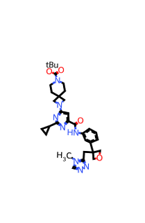 Cn1cnnc1CC1(c2cccc(NC(=O)c3cc(N4CC5(CCN(C(=O)OC(C)(C)C)CC5)C4)nc(C4CC4)n3)c2)COC1